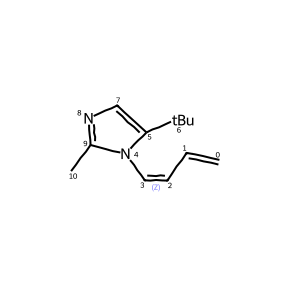 C=C/C=C\n1c(C(C)(C)C)cnc1C